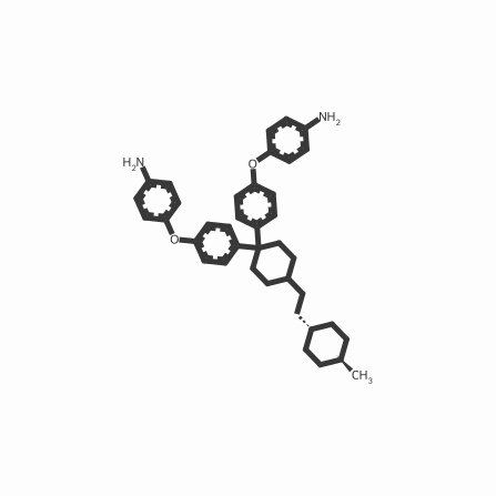 C[C@H]1CC[C@H](CCC2CCC(c3ccc(Oc4ccc(N)cc4)cc3)(c3ccc(Oc4ccc(N)cc4)cc3)CC2)CC1